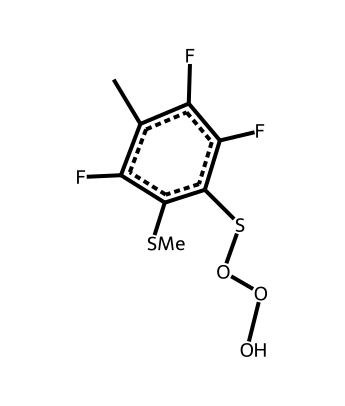 CSc1c(F)c(C)c(F)c(F)c1SOOO